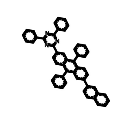 c1ccc(-c2nc(-c3ccccc3)nc(-c3ccc4c(-c5ccccc5)c5cc(-c6ccc7ccccc7c6)ccc5c(-c5ccccc5)c4c3)n2)cc1